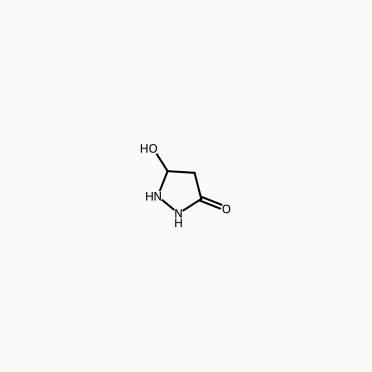 O=C1CC(O)NN1